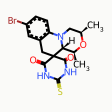 C[C@@H]1CN2c3ccc(Br)cc3CC3(C(=O)NC(=S)NC3=O)[C@H]2[C@H](C)O1